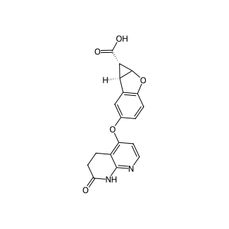 O=C1CCc2c(Oc3ccc4c(c3)[C@@H]3C(O4)[C@H]3C(=O)O)ccnc2N1